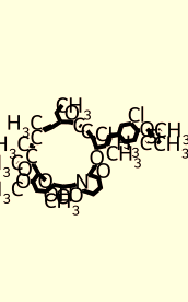 CCC1/C=C(\C)CC(C)CC(OC)C2OC(O)(C(=O)C(=O)N3CCCCC3C(=O)OC(C(C)=CC3CCC(O[Si](C)(C)C)C(Cl)C3)C(C)CCC1=O)C(C)CC2OC